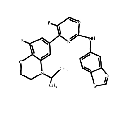 CC(C)N1CCOc2c(F)cc(-c3nc(Nc4ccc5scnc5c4)ncc3F)cc21